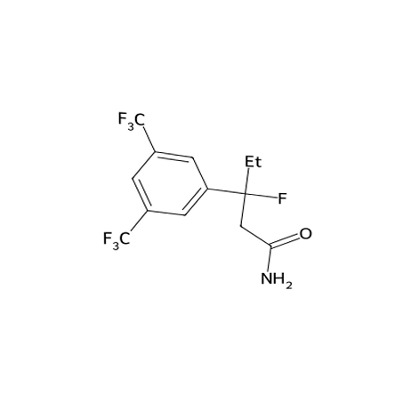 CCC(F)(CC(N)=O)c1cc(C(F)(F)F)cc(C(F)(F)F)c1